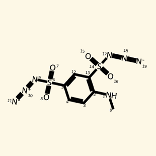 CNc1ccc(S(=O)(=O)N=[N+]=[N-])cc1S(=O)(=O)N=[N+]=[N-]